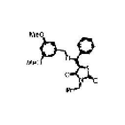 COc1cc(COC(=C2SC(=O)N(CC(C)C)C2=O)c2ccccc2)cc(OC)c1